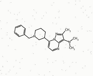 Cc1nn2c(C3CCCN(Cc4ccccc4)C3)ccnc2c1N(C)C